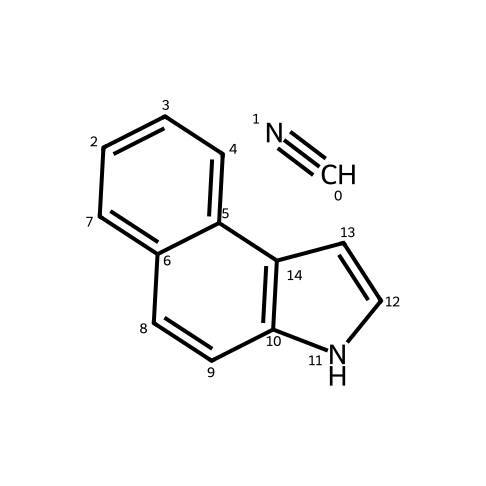 C#N.c1ccc2c(c1)ccc1[nH]ccc12